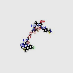 Cc1ncsc1-c1ccc(CNC(=O)[C@@H]2C[C@@H](O)CN2C[C@@H](NC(=O)CN(CCOCCOCCNC(=O)CC2N=C(c3ccc(Cl)cc3)c3c(sc(C)c3C)-n3c(C)nnc32)C(=O)CBr)C(C)(C)C)cc1